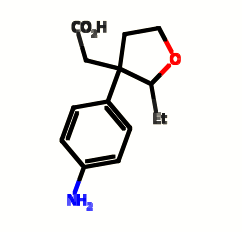 CCC1OCCC1(CC(=O)O)c1ccc(N)cc1